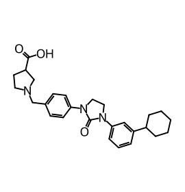 O=C(O)C1CCN(Cc2ccc(N3CCN(c4cccc(C5CCCCC5)c4)C3=O)cc2)C1